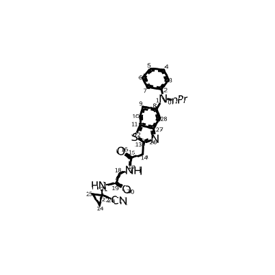 CCCN(c1ccccc1)c1ccc2sc(CC(=O)NCC(=O)NC3(C#N)CC3)nc2c1